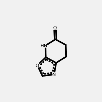 O=C1CCc2ncoc2N1